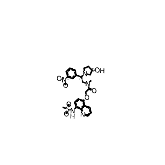 CN(C[C@@H](c1cccc([N+](=O)[O-])c1)N1CC[C@H](O)C1)C(=O)COc1ccc(NS(C)(=O)=O)c2ncccc12